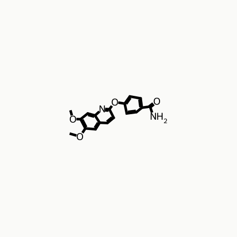 COc1cc2ccc(Oc3ccc(C(N)=O)cc3)nc2cc1OC